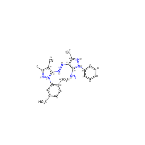 Cc1nn(-c2cc(S(=O)(=O)O)ccc2S(=O)(=O)O)c(/N=N/c2c(C(C)(C)C)nn(-c3ccccc3)c2N)c1C#N